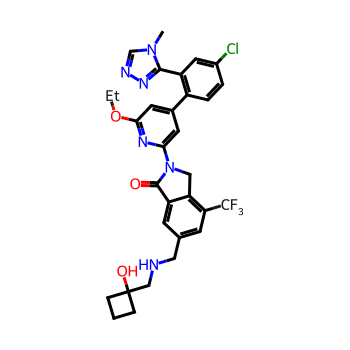 CCOc1cc(-c2ccc(Cl)cc2-c2nncn2C)cc(N2Cc3c(cc(CNCC4(O)CCC4)cc3C(F)(F)F)C2=O)n1